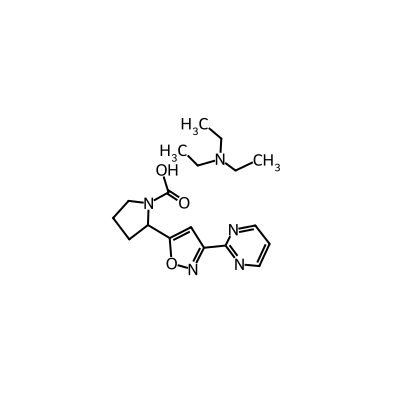 CCN(CC)CC.O=C(O)N1CCCC1c1cc(-c2ncccn2)no1